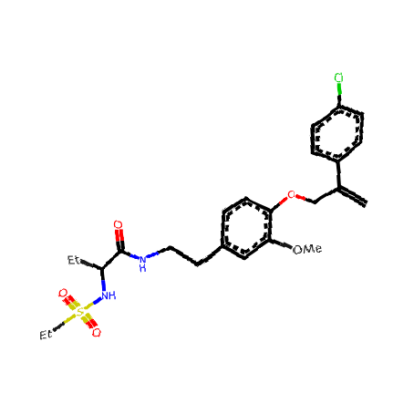 C=C(COc1ccc(CCNC(=O)C(CC)NS(=O)(=O)CC)cc1OC)c1ccc(Cl)cc1